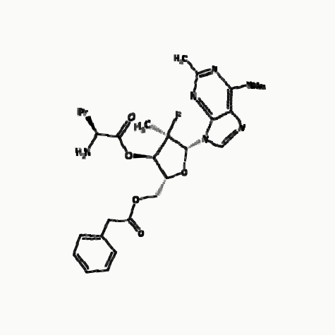 CNc1nc(C)nc2c1ncn2[C@@H]1O[C@H](COC(=O)Cc2ccccc2)[C@@H](OC(=O)[C@@H](N)C(C)C)[C@@]1(C)F